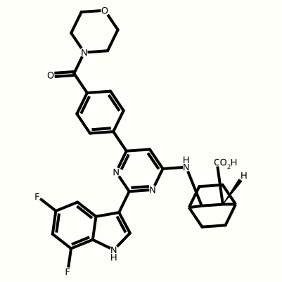 O=C(O)[C@@H]1C2CCC(CC2)C1Nc1cc(-c2ccc(C(=O)N3CCOCC3)cc2)nc(-c2c[nH]c3c(F)cc(F)cc23)n1